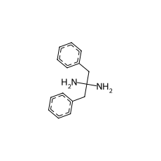 NC(N)(Cc1ccccc1)Cc1ccccc1